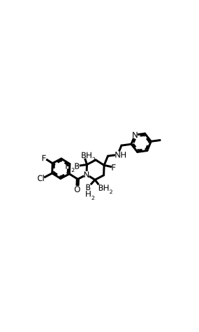 BC1(B)CC(F)(CNCc2ccc(C)cn2)CC(B)(B)N1C(=O)c1ccc(F)c(Cl)c1